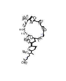 COC(CC1OC(=O)CC(O)CC(O)CC(=O)C(C)C(OC)c2coc(n2)-c2coc(n2)-c2coc(n2)/C=C/CCC1C)C(C)CCC(=O)C(C)C(C/C=C/N(C)C=O)OC